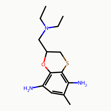 CCN(CC)CC1CSc2c(N)c(C)cc(N)c2O1